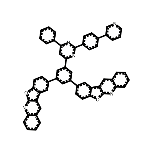 c1ccc(-c2cc(-c3cc(-c4ccc5oc6nc7ccccc7cc6c5c4)cc(-c4ccc5oc6nc7ccccc7cc6c5c4)c3)nc(-c3ccc(-c4cccnc4)cc3)n2)cc1